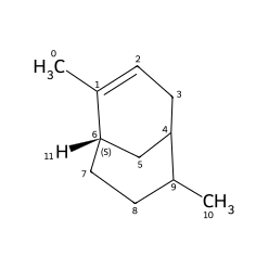 CC1=CCC2C[C@@H]1CCC2C